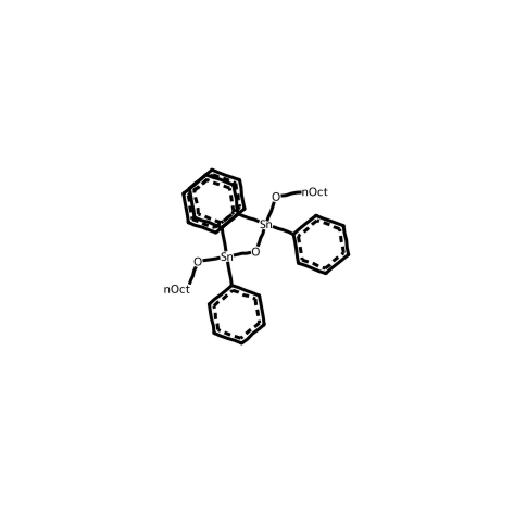 CCCCCCCC[O][Sn]([O][Sn]([O]CCCCCCCC)([c]1ccccc1)[c]1ccccc1)([c]1ccccc1)[c]1ccccc1